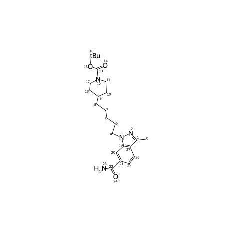 Cc1nn(CCCCCC2CCN(C(=O)OC(C)(C)C)CC2)c2cc(C(N)=O)ccc12